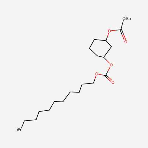 CC(C)CCCCCCCCCCOC(=O)OC1CCCC(OC(=O)OCC(C)C)C1